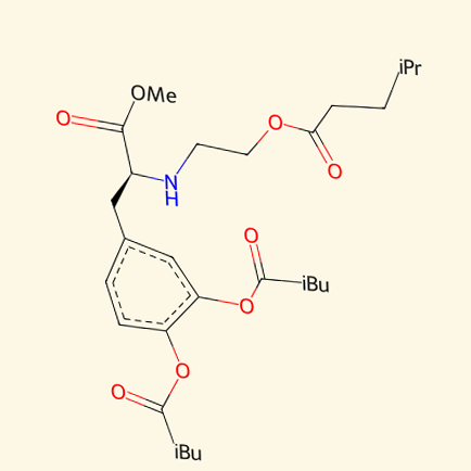 CCC(C)C(=O)Oc1ccc(C[C@H](NCCOC(=O)CCC(C)C)C(=O)OC)cc1OC(=O)C(C)CC